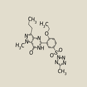 CCCc1nn(C)c2c(=O)[nH]c(-c3cc(S(=O)(=O)n4nnc(C)n4)ccc3OCC)nc12